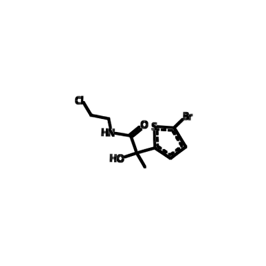 CC(O)(C(=O)NCCCl)c1ccc(Br)s1